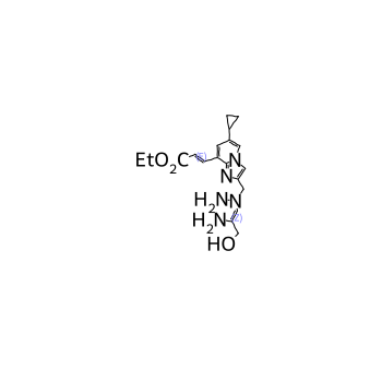 CCOC(=O)/C=C/c1cc(C2CC2)cn2cc(CN(N)/C=C(\N)CO)nc12